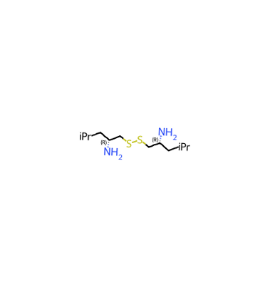 CC(C)C[C@@H](N)CSSC[C@H](N)CC(C)C